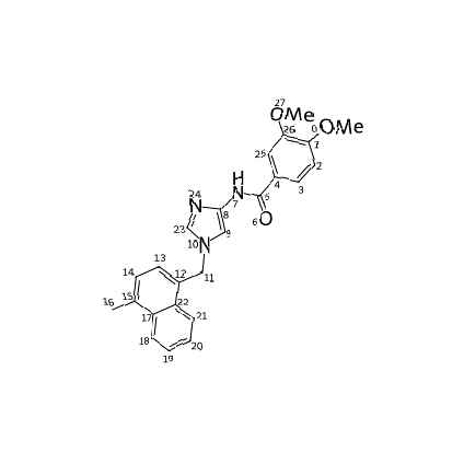 COc1ccc(C(=O)Nc2cn(Cc3ccc(C)c4ccccc34)cn2)cc1OC